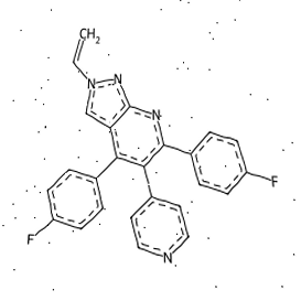 C=Cn1cc2c(-c3ccc(F)cc3)c(-c3ccncc3)c(-c3ccc(F)cc3)nc2n1